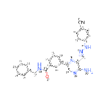 N#Cc1ccc(N/N=C/c2nc(-c3cccc(C(=O)NCc4ccccc4)c3)cnc2N)cc1